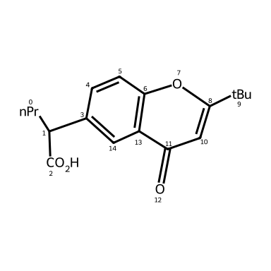 CCCC(C(=O)O)c1ccc2oc(C(C)(C)C)cc(=O)c2c1